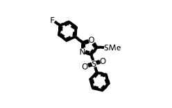 CSc1oc(-c2ccc(F)cc2)nc1S(=O)(=O)c1ccccc1